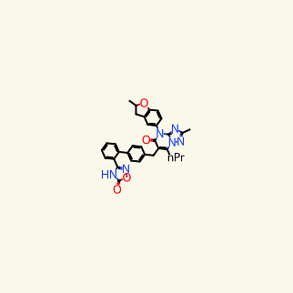 CCCc1c(Cc2ccc(-c3ccccc3-c3noc(=O)[nH]3)cc2)c(=O)n(-c2ccc3c(c2)CC(C)O3)c2nc(C)nn12